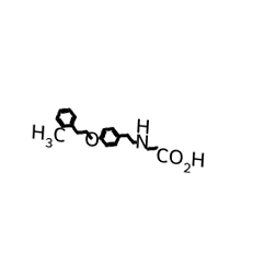 Cc1ccccc1CCOc1ccc(CCNCCC(=O)O)cc1